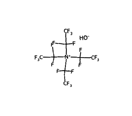 FC(F)(F)C(F)(F)[N+](C(F)(F)C(F)(F)F)(C(F)(F)C(F)(F)F)C(F)(F)C(F)(F)F.[OH-]